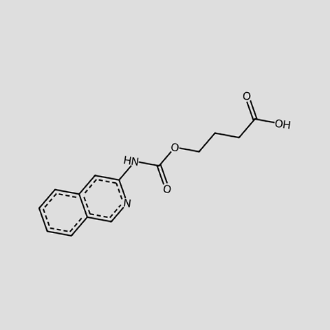 O=C(O)CCCOC(=O)Nc1cc2ccccc2cn1